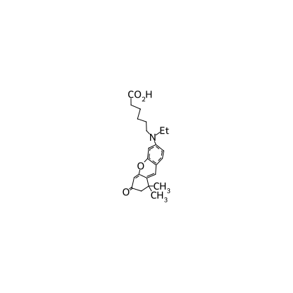 CCN(CCCCCC(=O)O)c1ccc2c(c1)OC1=CC(=O)CC(C)(C)C1=C2